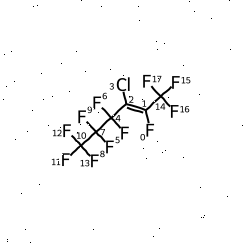 FC(=C(Cl)C(F)(F)C(F)(F)C(F)(F)F)C(F)(F)F